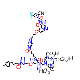 Cc1ccc(CCCC(=O)NCCOCCC(NC(=O)CN2CCN(CC(=O)O)CCN(CC(=O)O)CCN(CC(=O)O)CC2)C(=O)NCCCCCC(=O)N2CCN(CCCCOc3ccc4nccc(C(=O)NCC(=O)N5CC(F)(F)C[C@@H]5C#N)c4c3)CC2)cc1